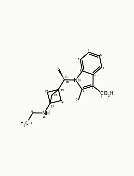 Cc1c(C(=O)O)c2ccccc2n1[C@H](C)C12CC(NCC(F)(F)F)(C1)C2